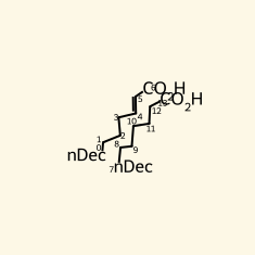 CCCCCCCCCCCCCC=CC(=O)O.CCCCCCCCCCCCCCCC(=O)O